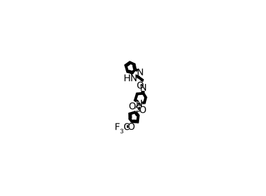 O=S(=O)(c1ccc(OC(F)(F)F)cc1)N1CCC(=NOCc2nc3ccccc3[nH]2)CC1